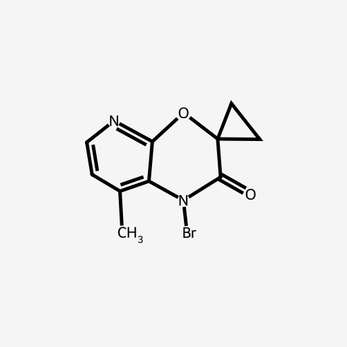 Cc1ccnc2c1N(Br)C(=O)C1(CC1)O2